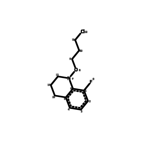 Fc1cccc2c1N(OCCCCl)CCC2